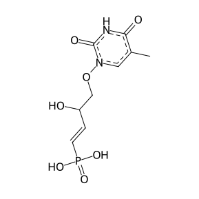 Cc1cn(OCC(O)C=CP(=O)(O)O)c(=O)[nH]c1=O